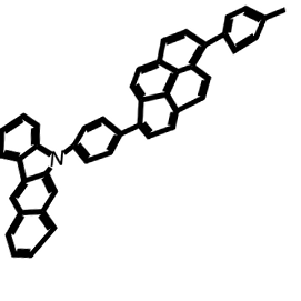 Cc1ccc(-c2ccc3ccc4c(-c5ccc(-n6c7ccccc7c7cc8ccccc8cc76)cc5)ccc5ccc2c3c54)cc1